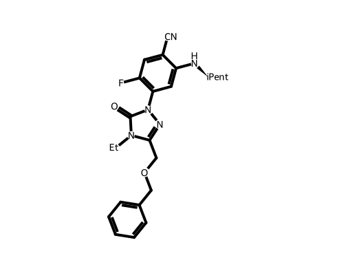 CCC[C@H](C)Nc1cc(-n2nc(COCc3ccccc3)n(CC)c2=O)c(F)cc1C#N